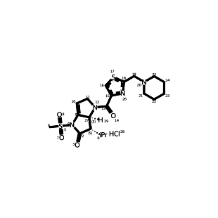 CC(C)[C@@H]1C(=O)N(S(C)(=O)=O)C2=CCN(C(=O)c3csc(CN4CCCCC4)n3)[C@H]21.Cl